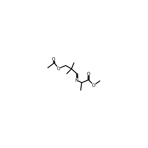 COC(=O)C(C)/N=C/C(C)(C)COC(C)=O